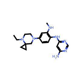 CCN1CCN(c2ccc(Nc3cc(N)ncn3)c(NC)c2)CC12CC2